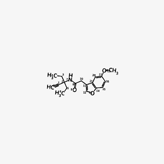 C#CC(CC)(CC)NC(=O)Cc1coc2ccc(OC)cc12